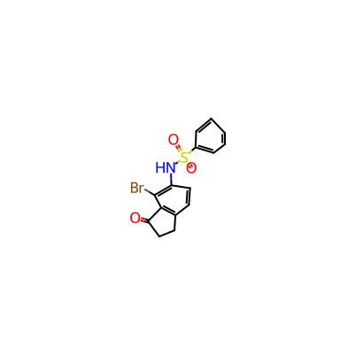 O=C1CCc2ccc(NS(=O)(=O)c3ccccc3)c(Br)c21